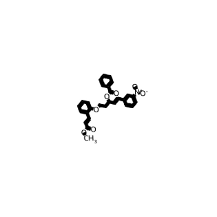 COC(=O)/C=C/c1ccccc1OCCC(/C=C/c1cccc([N+](=O)[O-])c1)OC(=O)c1ccccc1